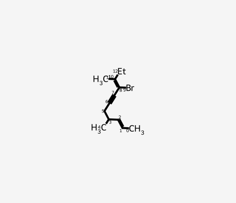 CC=CC(C)CC#C/C(Br)=C(\C)CC